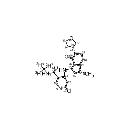 [2H]C([2H])([2H])NC(=O)c1cnc(Cl)cc1Nc1cn(C)c2ccn([C@@H]3CCOC3)c(=O)c12